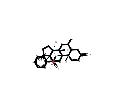 CC1C[C@H]2[C@@H]3CCC(=O)[C@@]3(C)CC[C@@]2(OS(=O)c2ccccc2)[C@@]2(C)C=CC(=O)CC12